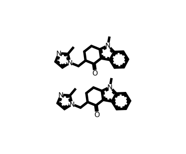 Cc1nccn1CC1CCc2c(c3ccccc3n2C)C1=O.Cc1nccn1CC1CCc2c(c3ccccc3n2C)C1=O